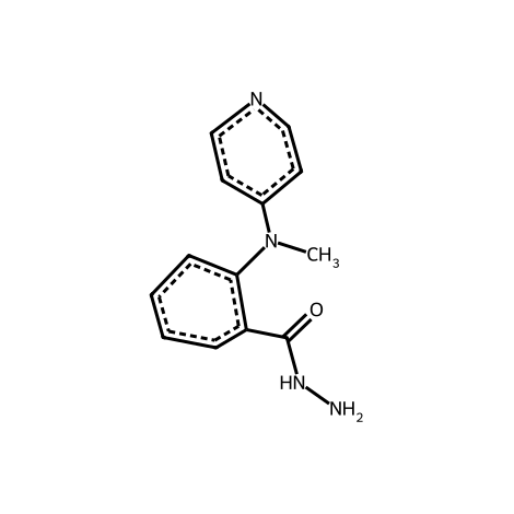 CN(c1ccncc1)c1ccccc1C(=O)NN